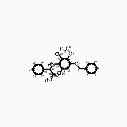 COc1c(OCc2ccccc2)cc(Cl)c(NC(C(=O)O)c2ccccc2)c1Cl